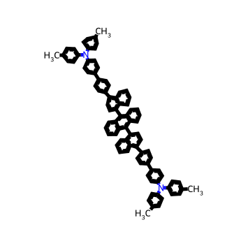 Cc1ccc(N(c2ccc(C)cc2)c2ccc(-c3ccc(-c4ccc(-c5c6ccccc6c(-c6ccc(-c7ccc(-c8ccc(N(c9ccc(C)cc9)c9ccc(C)cc9)cc8)cc7)c7ccccc67)c6ccccc56)c5ccccc45)cc3)cc2)cc1